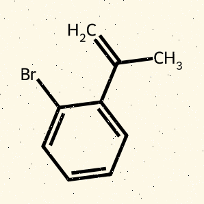 C=C(C)c1ccccc1Br